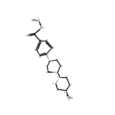 CCCCCOC(=O)c1ccc([C@H]2CC[C@H]([C@H]3CC[C@H](CCCC)CC3)CC2)cc1